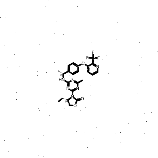 CC[C@H]1COC(=O)N1c1nc(C)nc(N[C@H](C)c2ccc(Oc3cccnc3C(F)(F)F)cc2)n1